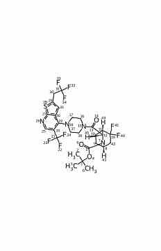 CC(C)(C)OC(=O)N1[C@H]2CC[C@@H]([C@H]1C(=O)N1CCN(c3c(C(F)(F)F)cnc4sc(CC(F)(F)F)cc34)CC1)C(F)(F)C2